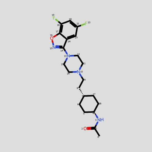 CC(=O)N[C@H]1CC[C@H](CCN2CCN(c3noc4c(F)cc(F)cc34)CC2)CC1